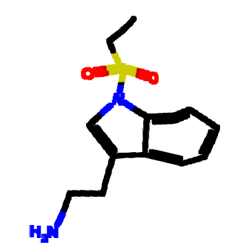 CCS(=O)(=O)n1cc(CCN)c2ccccc21